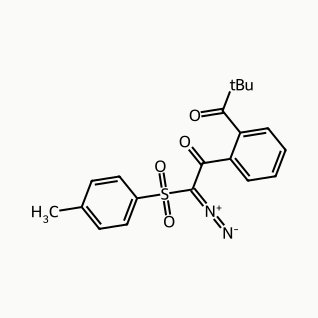 Cc1ccc(S(=O)(=O)C(=[N+]=[N-])C(=O)c2ccccc2C(=O)C(C)(C)C)cc1